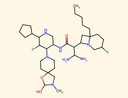 CCCCCC12CCC(F)CN1C(C(C(=O)NC1CNC(C3CCCC3)C(F)C1N1CCC3(CC1)CN(C)C(O)O3)C(N)N)C2